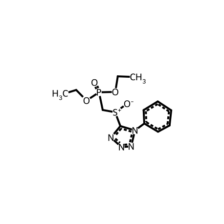 CCOP(=O)(C[S+]([O-])c1nnnn1-c1ccccc1)OCC